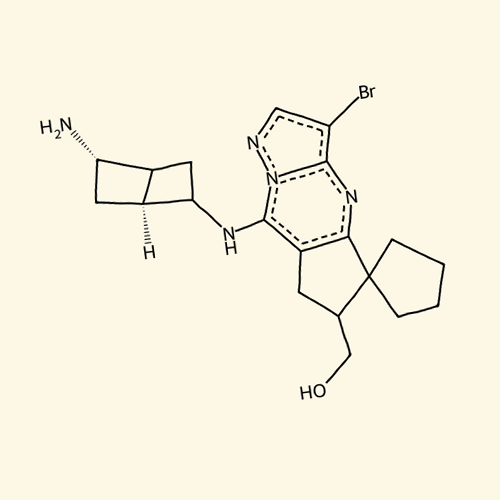 N[C@H]1C[C@@H]2C(Nc3c4c(nc5c(Br)cnn35)C3(CCCC3)C(CO)C4)CC21